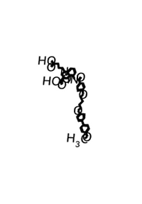 COc1ccc(-c2ccc(OCCCCOc3ccc(C(=O)Nc4cccc5c4OC(C(=O)O)CN5CCCC(=O)O)cc3)cc2)cc1